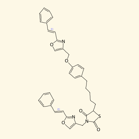 O=C1SC(CCCCCc2ccc(OCc3coc(/C=C/c4ccccc4)n3)cc2)C(=O)N1Cc1coc(/C=C/c2ccccc2)n1